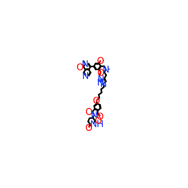 COc1cc(-c2cn(C)c(=O)c3cnccc23)cc(OC)c1CN(C)CCc1cn(CCCCCOc2ccc3c(c2)C(=O)N(C2CCC(=O)NC2=O)C3=O)nn1